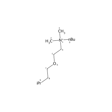 CCCC[N+](C)(C)CCOCCC(C)C